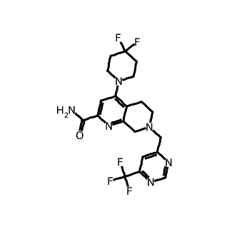 NC(=O)c1cc(N2CCC(F)(F)CC2)c2c(n1)CN(Cc1cc(C(F)(F)F)ncn1)CC2